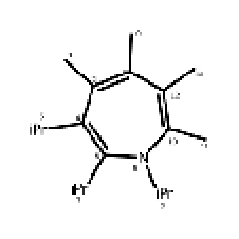 CC1=C(C)C(C(C)C)=C(C(C)C)N(C(C)C)C(C)=C1C